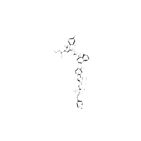 CCCC(I)c1cc(NC(=O)Nc2ccc(Oc3ccnc(NC(=O)NCC(=O)NCCc4ccncc4)c3)c3ccccc23)n(-c2ccc(C)cc2)n1